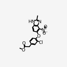 COC(=O)Cc1ccc(Oc2ccc3[nH]c(C)nc3c2[N+](=O)[O-])c(Cl)c1